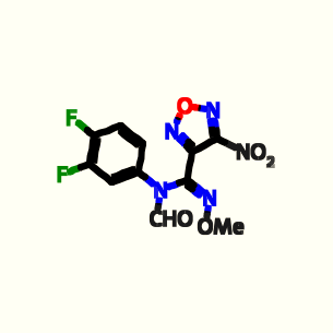 CO/N=C(/c1nonc1[N+](=O)[O-])N(C=O)c1ccc(F)c(F)c1